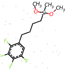 CO[Si](C)(CCCCc1cc(F)c(F)c(F)c1F)OC